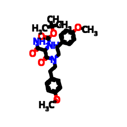 COc1ccc(CCN(CCc2ccc(OC)cc2)C(=O)C(NC(=O)OC(C)(C)C)C(N)=O)cc1